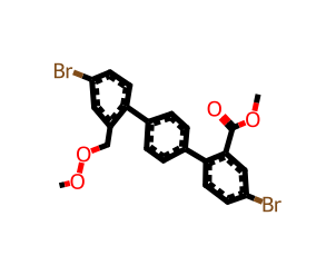 COOCc1cc(Br)ccc1-c1ccc(-c2ccc(Br)cc2C(=O)OC)cc1